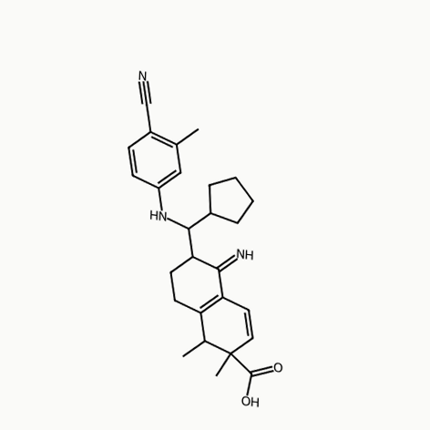 Cc1cc(NC(C2CCCC2)C2CCC3=C(C=CC(C)(C(=O)O)C3C)C2=N)ccc1C#N